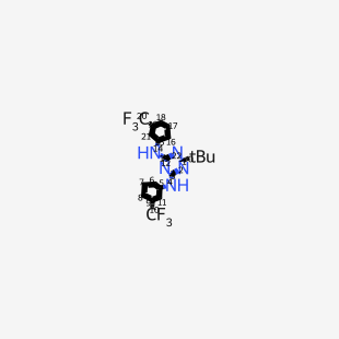 CC(C)(C)c1nc(Nc2cccc(C(F)(F)F)c2)nc(Nc2cccc(C(F)(F)F)c2)n1